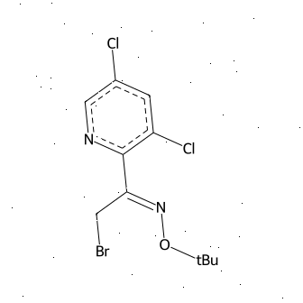 CC(C)(C)ON=C(CBr)c1ncc(Cl)cc1Cl